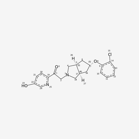 O=C(CN1C[C@H]2C[C@H](Oc3ccccc3Cl)C[C@H]2C1)c1ccc(O)cn1